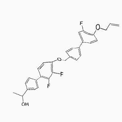 C=CCOc1ccc(-c2ccc(COc3ccc(-c4ccc(C(C)O)cc4)c(F)c3F)cc2)cc1F